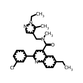 CCc1ccc2nc(-c3cccc(Cl)c3)cc(C(=O)N(C)Cc3cnn(CC)c3C)c2c1